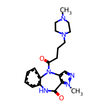 CN1CCN(CCCC(=O)N2c3ccccc3NC(=O)c3c2cnn3C)CC1